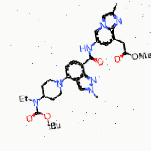 CCN(C(=O)OC(C)(C)C)C1CCN(c2ccc(C(=O)Nc3cc(CC(=O)OC)c4nc(C)cn4c3)c3nn(C)cc23)CC1